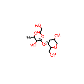 CCC(O)C(O)[C@H](OCCO)O[C@H]1CC(O)COC1CO